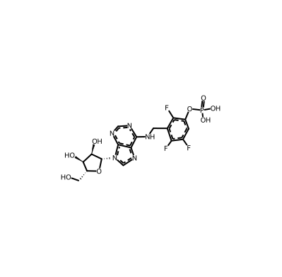 O=P(O)(O)Oc1cc(F)c(F)c(CNc2ncnc3c2ncn3[C@@H]2O[C@H](CO)[C@@H](O)[C@H]2O)c1F